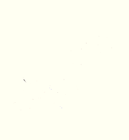 Cc1nsc(-c2cc3sc(-c4ccc(CC(=O)O)cc4F)cc3s2)c1NC(=O)O[C@H](C)c1ccccc1